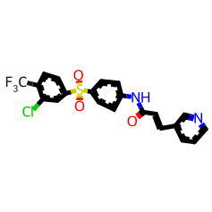 O=C(/C=C/c1cccnc1)Nc1ccc(S(=O)(=O)c2ccc(C(F)(F)F)c(Cl)c2)cc1